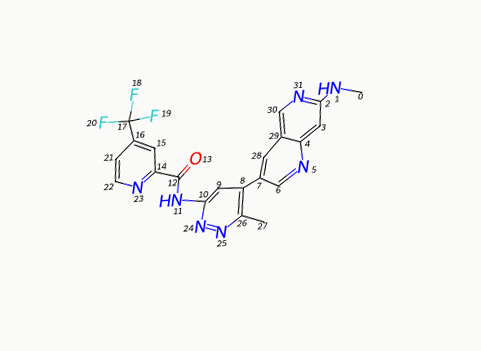 CNc1cc2ncc(-c3cc(NC(=O)c4cc(C(F)(F)F)ccn4)nnc3C)cc2cn1